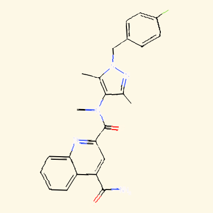 Cc1c(N(C)C(=O)c2cc(C(N)=O)c3ccccc3n2)c(C(F)(F)F)nn1Cc1ccc(F)cc1